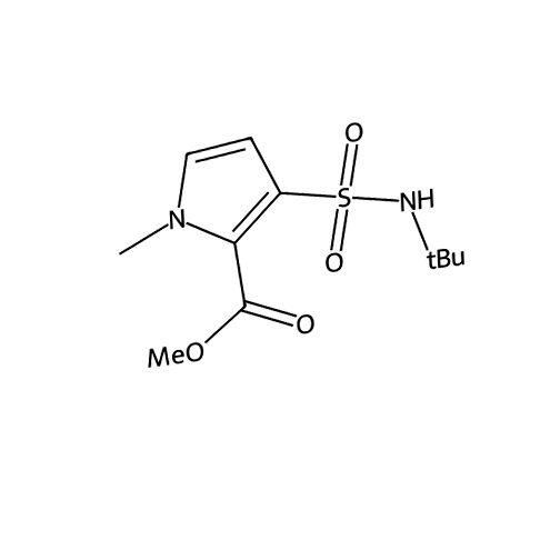 COC(=O)c1c(S(=O)(=O)NC(C)(C)C)ccn1C